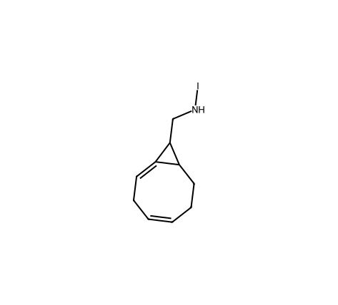 INCC1/C2=C/C/C=C\CCC21